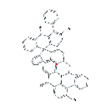 CC(C)c1ccc2c(c1-c1ccccc1)P(C(C)C)c1ccccc1C21c2ccccc2-c2cc(CC(C)p3c4ccccc4c(=O)c4ccc(C(C)C)c(-c5ccccc5)c43)ccc21